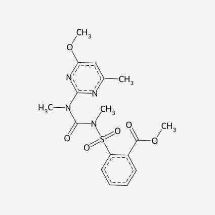 COC(=O)c1ccccc1S(=O)(=O)N(C)C(=O)N(C)c1nc(C)cc(OC)n1